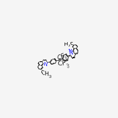 Cc1ccc2ccc3ccc(-c4ccc(C(c5ccc(-c6ccc7ccc8ccc(C)cc8c7n6)cc5)(C(F)(F)F)C(F)(F)F)cc4)nc3c2c1